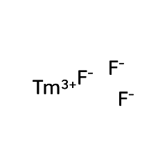 [F-].[F-].[F-].[Tm+3]